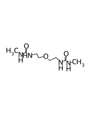 CNC(=O)NCCOCCNC(=O)NC